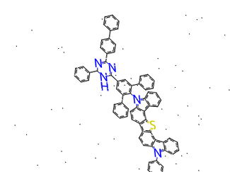 c1ccc(-c2ccc(C3=NC(c4ccccc4)NC(c4cc(-c5ccccc5)c(-n5c6ccccc6c6c7sc8c(ccc9c8c8ccccc8n9-c8ccccc8)c7ccc65)c(-c5ccccc5)c4)=N3)cc2)cc1